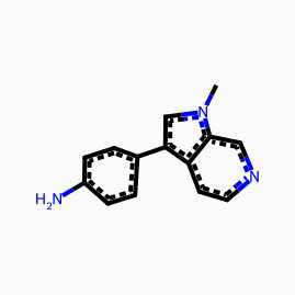 Cn1cc(-c2ccc(N)cc2)c2ccncc21